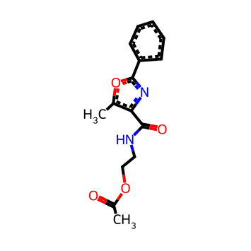 CC(=O)OCCNC(=O)c1nc(-c2ccccc2)oc1C